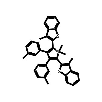 Cc1cccc(C2=C(c3sc4ccccc4c3C)[Si](C)(C)C(c3sc4ccccc4c3C)=C2c2cccc(C)c2)c1